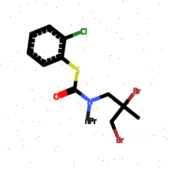 CCCN(CC(C)(Br)CBr)C(=O)Sc1ccccc1Cl